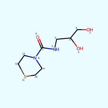 O=C(NCC(O)CO)N1CCSCC1